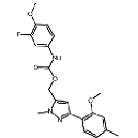 COc1ccc(NC(=O)OCc2cc(-c3ccc(C)cc3OC)nn2C)cc1F